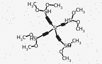 CO[SiH](C#C[Si](C#C[SiH](OC)OC)(C#C[SiH](OC)OC)C#C[SiH](OC)OC)OC